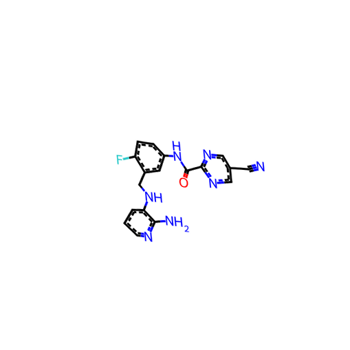 N#Cc1cnc(C(=O)Nc2ccc(F)c(CNc3cccnc3N)c2)nc1